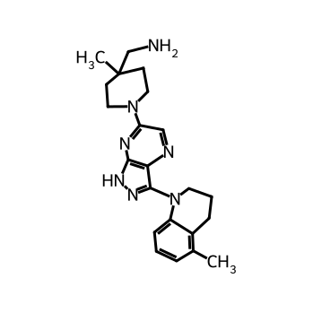 Cc1cccc2c1CCCN2c1n[nH]c2nc(N3CCC(C)(CN)CC3)cnc12